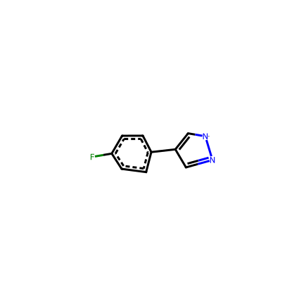 Fc1ccc(C2=C[N]N=C2)cc1